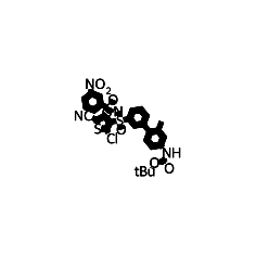 Cc1cc(NC(=O)OC(C)(C)C)ccc1-c1cccc(S(=O)(=NS(=O)(=O)c2cccc([N+](=O)[O-])c2)c2cc(C#N)sc2Cl)c1